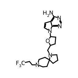 Nc1ncnc2c1ccn2C1CCC(CN2CCCC23CCN(CCC(F)(F)F)CC3)O1